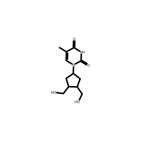 O=c1[nH]c(=O)n(C2CC(CO)C(CO)C2)cc1I